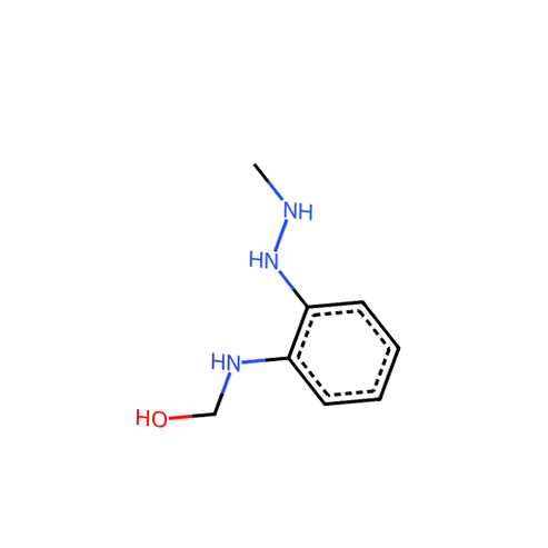 CNNc1ccccc1NCO